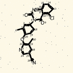 Cc1cc(N(C(N)=O)C(=O)c2c(Cl)cccc2Cl)ccc1Oc1ncc(C#N)cc1C